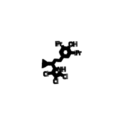 CC(C)c1cc(CCC(=C2CC2)c2[nH]c(Cl)c(Cl)c2Cl)cc(C(C)C)c1O